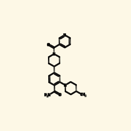 CC1CCN(c2cc(C3CCN(C(=O)c4cccnc4)CC3)ccc2C(N)=O)CC1